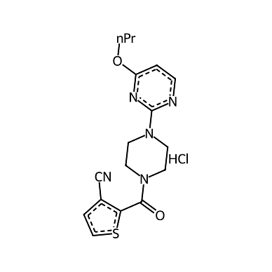 CCCOc1ccnc(N2CCN(C(=O)c3sccc3C#N)CC2)n1.Cl